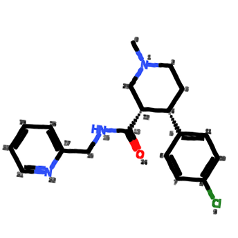 CN1CC[C@H](c2ccc(Cl)cc2)[C@H](C(=O)NCc2ccccn2)C1